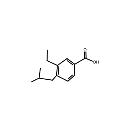 CCc1cc(C(=O)O)ccc1CC(C)C